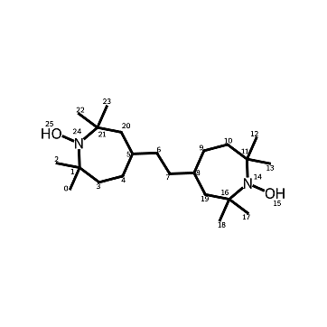 CC1(C)CCC(CCC2CCC(C)(C)N(O)C(C)(C)C2)CC(C)(C)N1O